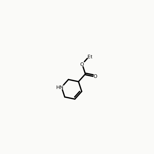 CCOC(=O)C1C=CCNC1